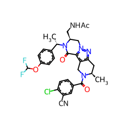 CC(=O)NC[C@H]1Cn2nc3c(c2C(=O)N1[C@@H](C)c1ccc(OC(F)F)cc1)CN(C(=O)c1ccc(Cl)c(C#N)c1)[C@H](C)C3